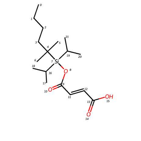 CCCCC(C)(C)[Si](OC(=O)/C=C/C(=O)O)(C(C)C)C(C)C